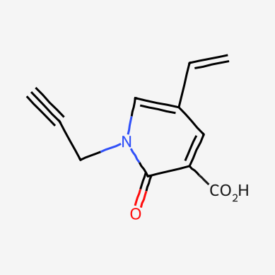 C#CCn1cc(C=C)cc(C(=O)O)c1=O